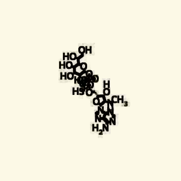 CN[C@@H]1[C@H](O)[C@@H](COP(=O)(S)OP(=O)(O)OC2OC([C@@H](O)CO)C(O)C(O)C2O)O[C@H]1n1cnc2c(N)ncnc21